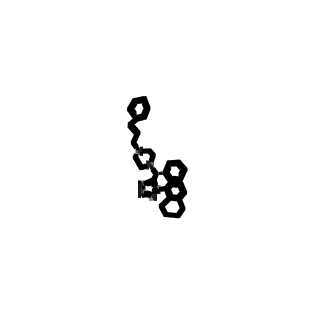 C(=C\c1ccccc1)/CN1CCN([C@H](c2ccccc2)c2nnnn2-c2cccc3c2CCCC3)CC1